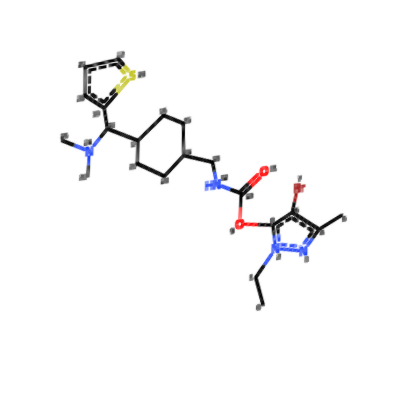 CCn1nc(C)c(Br)c1OC(=O)NCC1CCC(C(c2cccs2)N(C)C)CC1